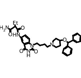 CCC(C(N)=O)C(=O)Nc1ccc2c(c1)c(=O)[nH]c(=O)n2CCCCN1CCC(OC(c2ccccc2)c2ccccc2)CC1